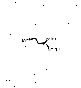 CCCCCCC[C@H](CCCCCC)CCSC